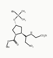 CCOC(=O)CNC(C[N+](=O)[O-])[C@@H]1C[C@@H](O[Si](C)(C)C(C)(C)C)CN1C(=O)OC(C)(C)C